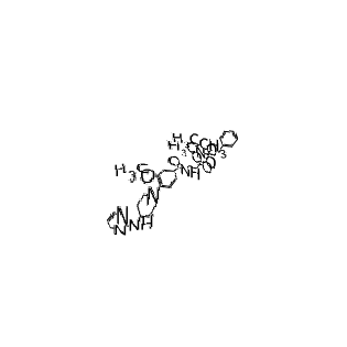 COc1cc(C(=O)NCCC(=O)ON(C(=O)OCc2ccccc2)C(C)(C)C)ccc1N1CCC(Nc2ncccn2)CC1